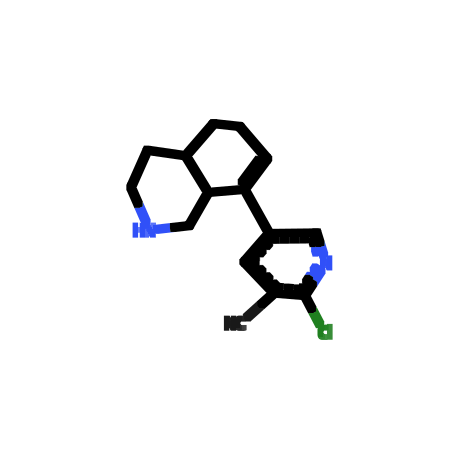 N#Cc1cc(C2=CCCC3CCNCC23)cnc1Cl